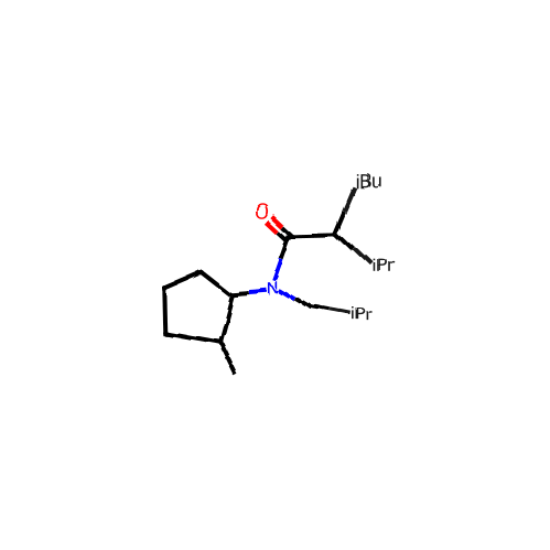 CCC(C)C(C(=O)N(CC(C)C)C1CCCC1C)C(C)C